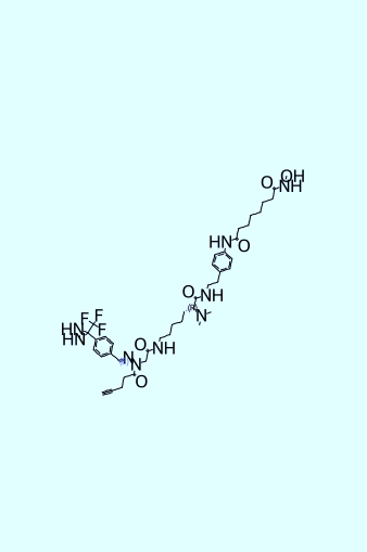 C#CCCC(=O)N(CC(=O)NCCCCC[C@H](C(=O)NCCc1ccc(NC(=O)CCCCCCC(=O)NO)cc1)N(C)C)/N=C/c1ccc(C2(C(F)(F)F)NN2)cc1